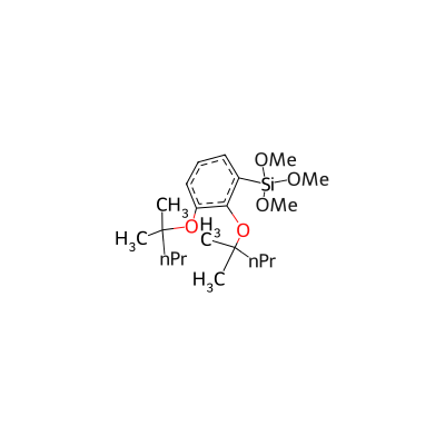 CCCC(C)(C)Oc1cccc([Si](OC)(OC)OC)c1OC(C)(C)CCC